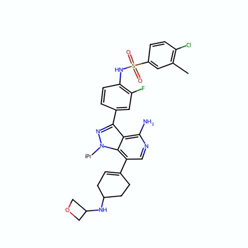 Cc1cc(S(=O)(=O)Nc2ccc(-c3nn(C(C)C)c4c(C5=CCC(NC6COC6)CC5)cnc(N)c34)cc2F)ccc1Cl